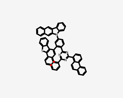 c1ccc(-c2nc(-c3ccc(-n4c5ccccc5c5cc6ccccc6cc54)cc3-c3cc4ccccc4c4sc5ccccc5c34)nc(-c3cccc4c3ccc3ccccc34)n2)cc1